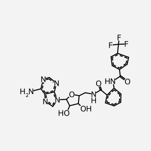 Nc1ncnc2c1ncn2C1OC(CNC(=O)c2ccccc2NC(=O)c2ccc(C(F)(F)F)cc2)C(O)C1O